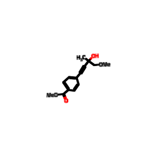 COCC(C)(O)C#Cc1ccc(C(=O)OC)cc1